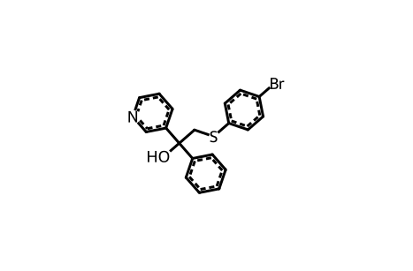 OC(CSc1ccc(Br)cc1)(c1ccccc1)c1cccnc1